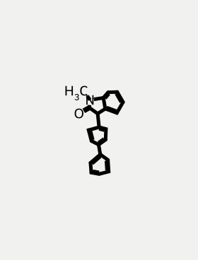 CN1C(=O)C(c2ccc(-c3ccccc3)cc2)c2ccccc21